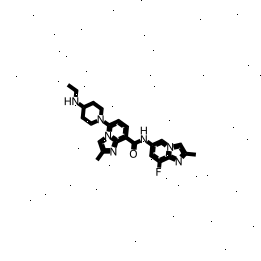 CCNC1CCN(c2ccc(C(=O)Nc3cc(F)c4nc(C)cn4c3)c3nc(C)cn23)CC1